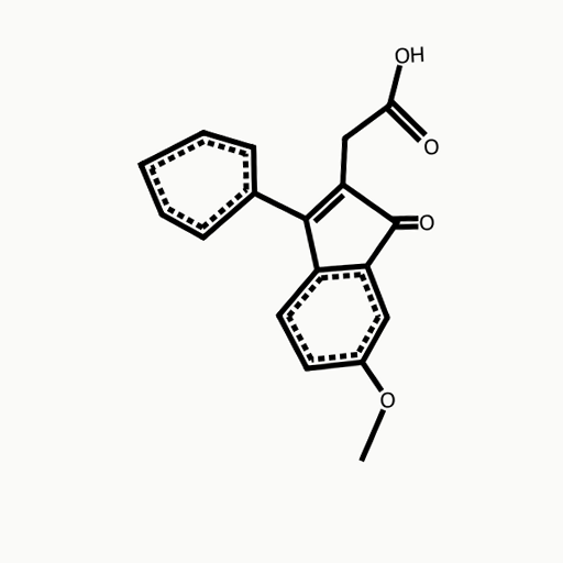 COc1ccc2c(c1)C(=O)C(CC(=O)O)=C2c1ccccc1